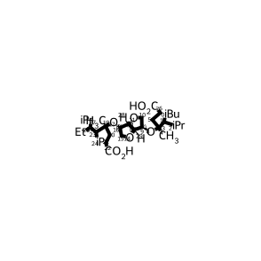 CCC(C)C(C(C)C)C(C)(CCC(=O)O)O[C@@H]1CO[C@H]2[C@@H]1OC[C@H]2OC(C)(CCC(=O)O)C(C(C)C)C(CC)C(C)C